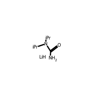 CC(C)N(C(N)=O)C(C)C.[LiH]